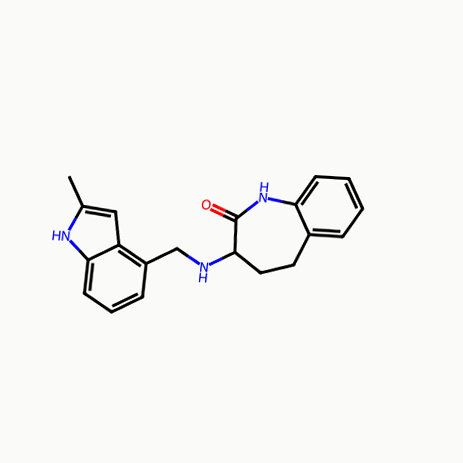 Cc1cc2c(CNC3CCc4ccccc4NC3=O)cccc2[nH]1